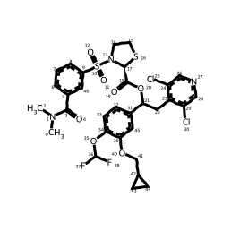 CN(C)C(=O)c1cccc(S(=O)(=O)N2CCS[C@H]2C(=O)OC(Cc2c(Cl)cncc2Cl)c2ccc(OC(F)F)c(OCC3CC3)c2)c1